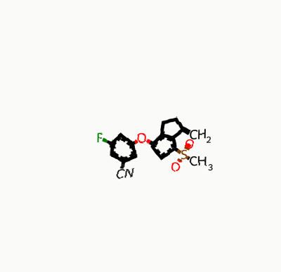 C=C1CCc2c(Oc3cc(F)cc(C#N)c3)ccc(S(C)(=O)=O)c21